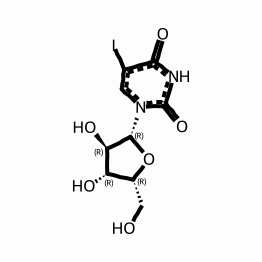 O=c1[nH]c(=O)n([C@@H]2O[C@H](CO)[C@H](O)[C@H]2O)cc1I